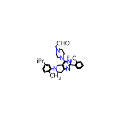 Cc1ccc(C(C)C)cc1N1CCc2nc(-c3ccccc3C(F)(F)F)nc(N3CCN(CC=O)CC3)c2C1